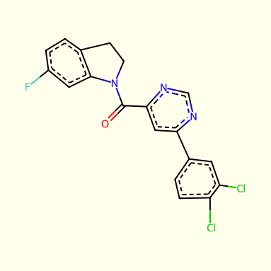 O=C(c1cc(-c2ccc(Cl)c(Cl)c2)ncn1)N1CCc2ccc(F)cc21